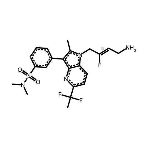 Cc1c(-c2cccc(S(=O)(=O)N(C)C)c2)c2nc(C(C)(F)F)ccc2n1C/C(F)=C/CN